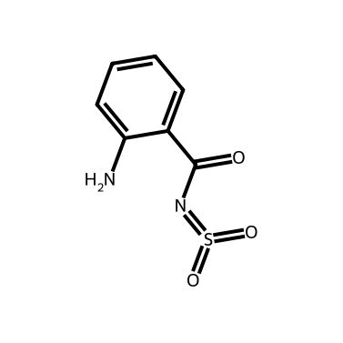 Nc1ccccc1C(=O)N=S(=O)=O